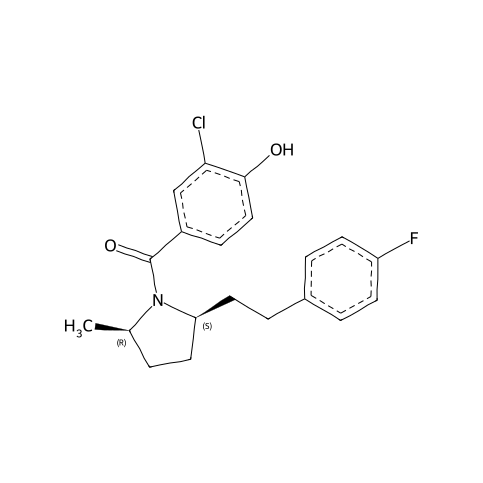 C[C@@H]1CC[C@H](CCc2ccc(F)cc2)N1C(=O)c1ccc(O)c(Cl)c1